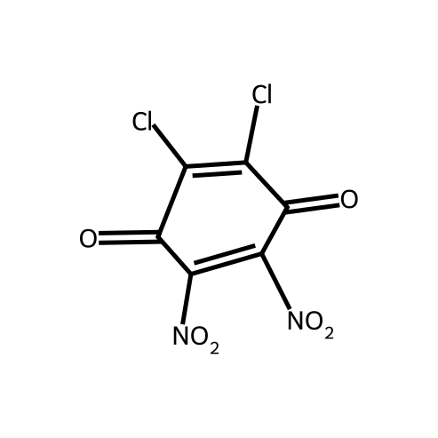 O=C1C(Cl)=C(Cl)C(=O)C([N+](=O)[O-])=C1[N+](=O)[O-]